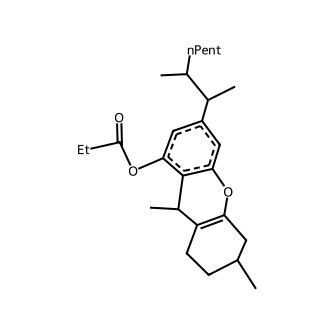 CCCCCC(C)C(C)c1cc(OC(=O)CC)c2c(c1)OC1=C(CCC(C)C1)C2C